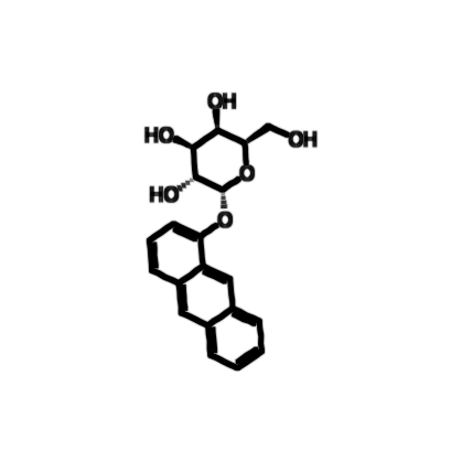 OC[C@H]1O[C@H](Oc2cccc3cc4ccccc4cc23)[C@H](O)[C@@H](O)[C@H]1O